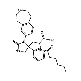 CCCCCC(=O)NC(CC1(c2ccccc2)CNC(=O)N1c1ccc2c(c1)CCNCC2)C(=O)O